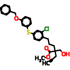 C#CCC(CO)(CCCc1ccc(Sc2cccc(OCc3ccccc3)c2)cc1Cl)C(=O)OC